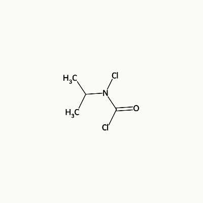 CC(C)N(Cl)C(=O)Cl